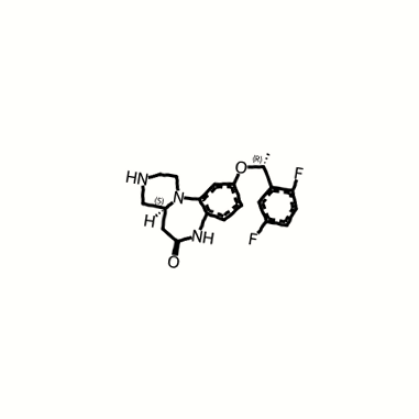 C[C@@H](Oc1ccc2c(c1)N1CCNC[C@@H]1CC(=O)N2)c1cc(F)ccc1F